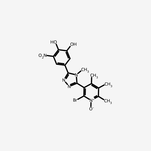 Cc1c(C)c(C)[n+]([O-])c(Br)c1-c1nnc(-c2cc(O)c(O)c([N+](=O)[O-])c2)n1C